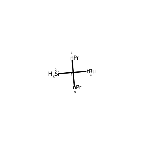 CCCC([SiH3])(CCC)C(C)(C)C